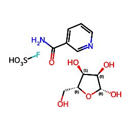 NC(=O)c1cccnc1.O=S(=O)(O)F.OC[C@H]1O[C@@H](O)[C@H](O)[C@@H]1O